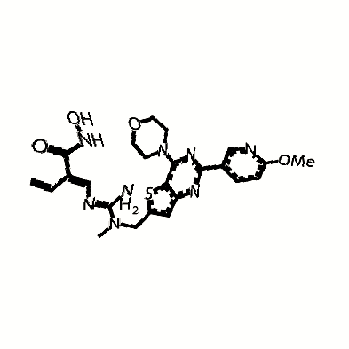 C=C/C(=C\N=C(/N)N(C)Cc1cc2nc(-c3ccc(OC)nc3)nc(N3CCOCC3)c2s1)C(=O)NO